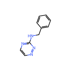 c1ccc(CNc2nccnn2)cc1